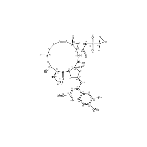 CC[C@@H]1C[C@H](C)CCC=C[C@@H]2C[C@@]2(C(=O)NS(=O)(=O)C2(C)CC2)NC(=O)[C@@H]2C[C@@H](Oc3cc(OC)nc4cc(OC)c(F)cc34)CN2C(=O)[C@H]1NC(=O)O